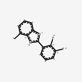 [CH2]c1cccc2sc(-c3cccc(F)c3F)nc12